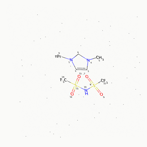 CCCN1C=CN(C)C1.O=S(=O)(NS(=O)(=O)C(F)(F)F)C(F)(F)F